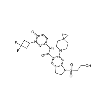 O=C(Nc1ccc(=O)n(C2CC(F)(F)C2)n1)c1cc2c(cc1N1CCC3(CC1)CC3)N(S(=O)(=O)CCO)CC2